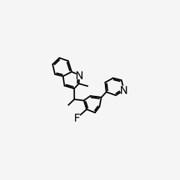 Cc1nc2ccccc2cc1C(C)c1cc(-c2cccnc2)ccc1F